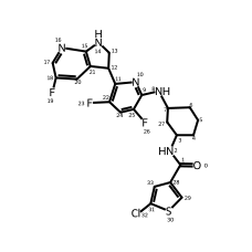 O=C(NC1CCCC(Nc2nc(C3CNc4ncc(F)cc43)c(F)cc2F)C1)c1csc(Cl)c1